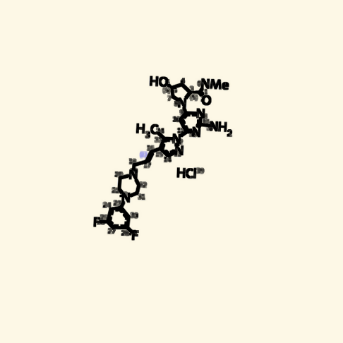 CNC(=O)[C@@H]1C[C@H](O)CN1c1cc(-n2ncc(/C=C/CN3CCN(c4cc(F)cc(F)c4)CC3)c2C)nc(N)n1.Cl